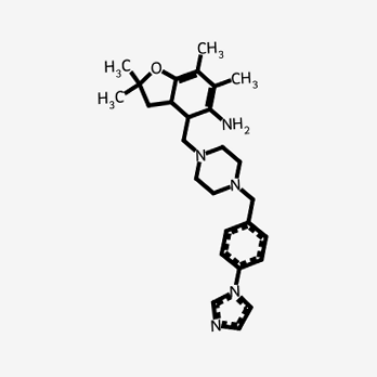 CC1=C(N)C(CN2CCN(Cc3ccc(-n4ccnc4)cc3)CC2)C2CC(C)(C)OC2=C1C